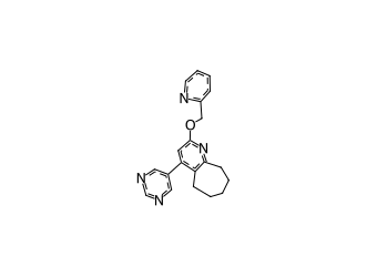 c1ccc(COc2cc(-c3cncnc3)c3c(n2)CCCCC3)nc1